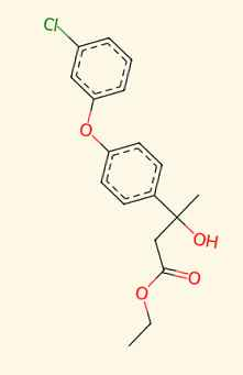 CCOC(=O)CC(C)(O)c1ccc(Oc2cccc(Cl)c2)cc1